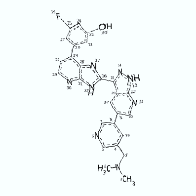 CN(C)Cc1cncc(-c2cnc3[nH]nc(-c4nc5c(-c6cc(O)cc(F)c6)ccnc5[nH]4)c3c2)c1